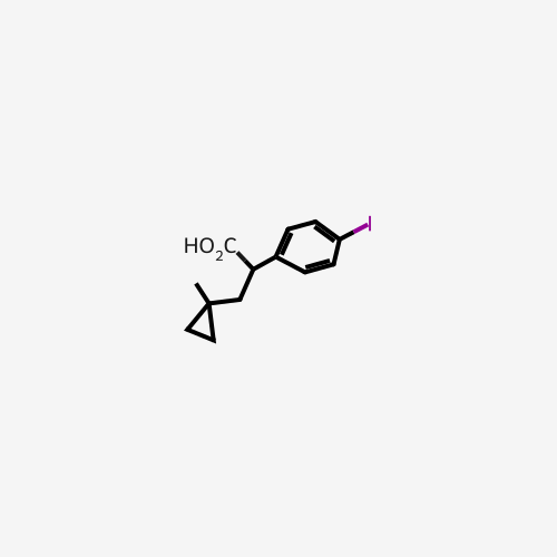 CC1(CC(C(=O)O)c2ccc(I)cc2)CC1